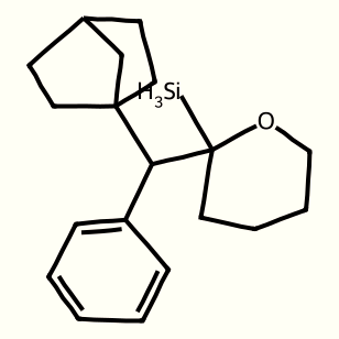 [SiH3]C1(C(c2ccccc2)C23CCC(CC2)C3)CCCCO1